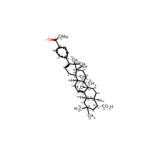 COC(=O)c1ccc(C2=CC[C@]3(C)[C@H]4CC=C5[C@H]6CC(C)(C)C[C@@H](C(=O)O)[C@H]6CC[C@@]5(C)[C@]4(C)CC[C@H]3C2(C)C)cc1